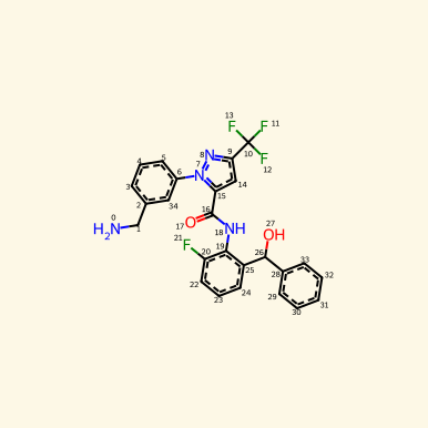 NCc1cccc(-n2nc(C(F)(F)F)cc2C(=O)Nc2c(F)cccc2C(O)c2ccccc2)c1